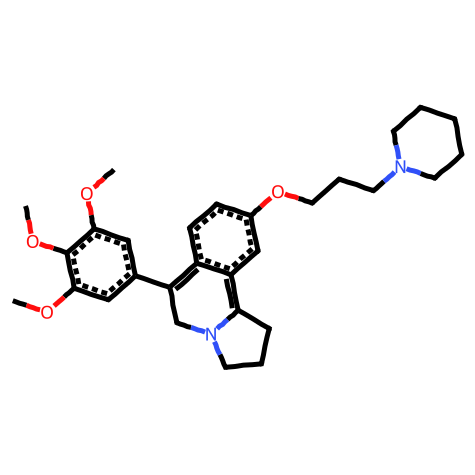 COc1cc(C2=c3ccc(OCCCN4CCCCC4)cc3=C3CCCN3C2)cc(OC)c1OC